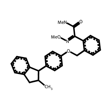 CNC(=O)C(=NOC)c1ccccc1COc1ccc(C2c3ccccc3CC2C)cc1